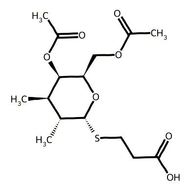 CC(=O)OC[C@H]1O[C@H](SCCC(=O)O)[C@H](C)[C@@H](C)[C@H]1OC(C)=O